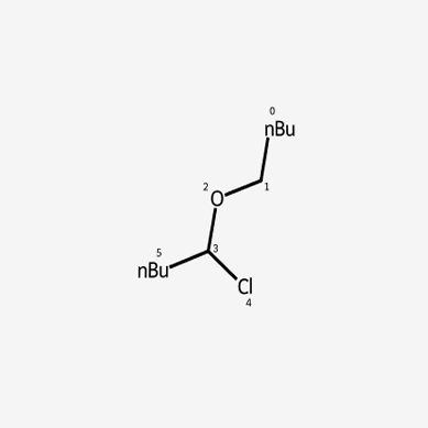 CCCCCOC(Cl)CCCC